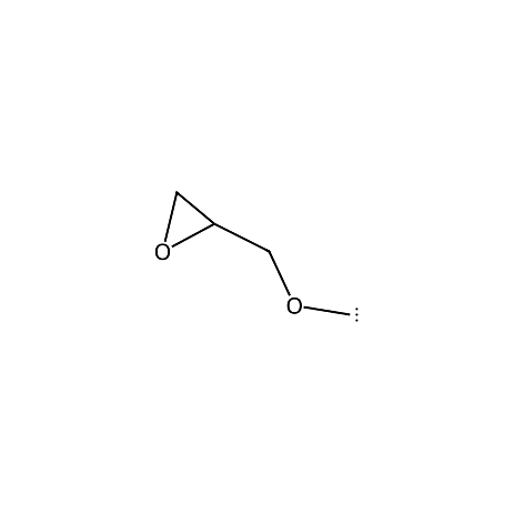 [C]OCC1CO1